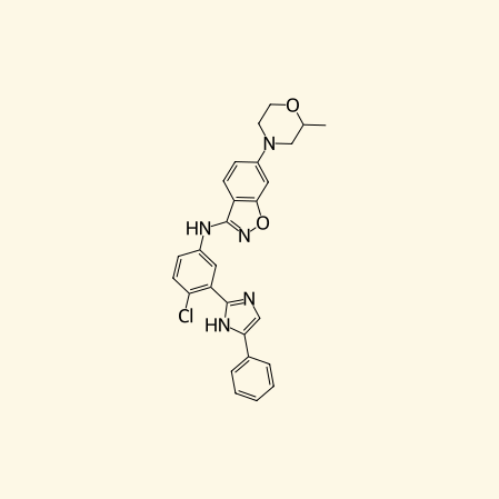 CC1CN(c2ccc3c(Nc4ccc(Cl)c(-c5ncc(-c6ccccc6)[nH]5)c4)noc3c2)CCO1